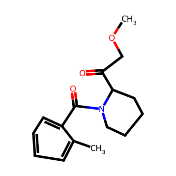 COCC(=O)C1CCCCN1C(=O)c1ccccc1C